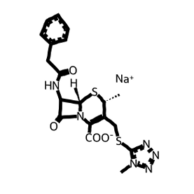 C[C@H]1S[C@H]2C(NC(=O)Cc3ccccc3)C(=O)N2C(C(=O)[O-])=C1CSc1nnnn1C.[Na+]